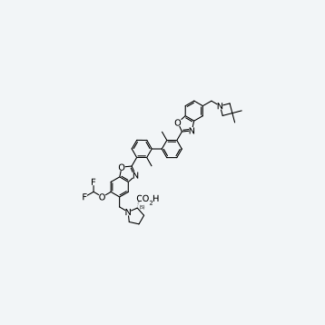 Cc1c(-c2nc3cc(CN4CC(C)(C)C4)ccc3o2)cccc1-c1cccc(-c2nc3cc(CN4CCC[C@H]4C(=O)O)c(OC(F)F)cc3o2)c1C